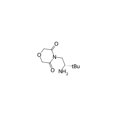 CC(C)(C)[C@H](N)CN1C(=O)COCC1=O